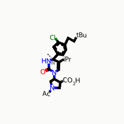 CC(=O)N1CC(C(=O)O)C(N2C=C(C(C)C)[C@](C)(c3ccc(CCC(C)(C)C)c(Cl)c3)NC2=O)C1